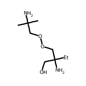 CCC(N)(CO)COOCC(C)(C)N